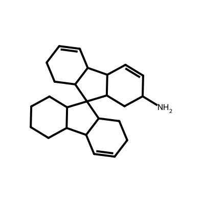 NC1C=CC2C3C=CCCC3C3(C2C1)C1CCC=CC1C1CCCCC13